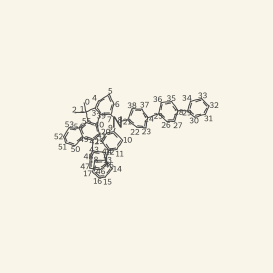 CC1(C)c2cccc(N(c3ccc(-c4ccccc4)cc3)c3ccc(-c4ccc(-c5ccccc5)cc4)cc3)c2-c2cc(-c3ccccc3)c3ccccc3c21